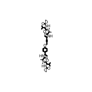 COC(=O)N[C@H](C(=O)N(C)[C@@H](C)c1ncc(C#CCOc2ccc(-c3cnc([C@H](C)N(C)C(=O)[C@@H](NC(=O)OC)C(C)C)[nH]3)cc2)[nH]1)C(C)C